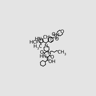 CCCCN1C(=O)[C@@H]([C@H](O)C2CCCCC2)NC(=O)C12CCN(C(c1ccc(S(=O)(=O)N3CCOCC3)cc1)c1c(C)n[nH]c1C)CC2.Cl